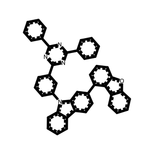 c1ccc(-c2nc(-c3ccccc3)nc(-c3cccc(-n4c5ccccc5c5ccc(-c6cccc7oc8ccccc8c67)cc54)c3)n2)cc1